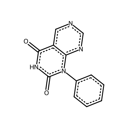 O=c1[nH]c(=O)n(-c2ccccc2)c2ncncc12